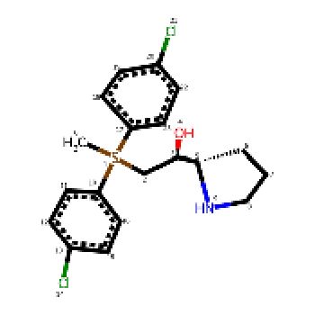 CS(C[C@@H](O)[C@@H]1CCCN1)(c1ccc(Cl)cc1)c1ccc(Cl)cc1